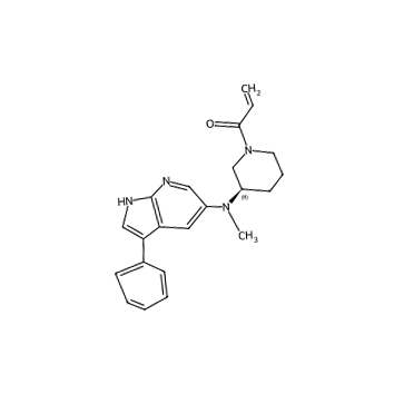 C=CC(=O)N1CCC[C@@H](N(C)c2cnc3[nH]cc(-c4ccccc4)c3c2)C1